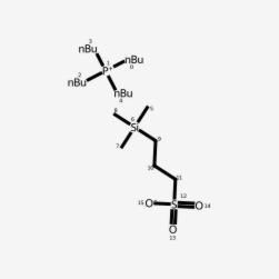 CCCC[P+](CCCC)(CCCC)CCCC.C[Si](C)(C)CCCS(=O)(=O)[O-]